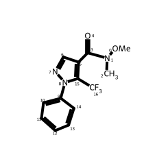 CON(C)C(=O)c1cnn(-c2ccccc2)c1C(F)(F)F